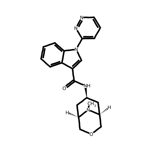 CN1[C@@H]2COC[C@H]1C[C@@H](NC(=O)c1cn(-c3cccnn3)c3ccccc13)C2